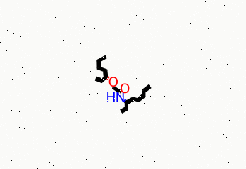 C=C/C=C\C=C(/C=C)NC(=O)CO/C(C=C)=C/C=C\C